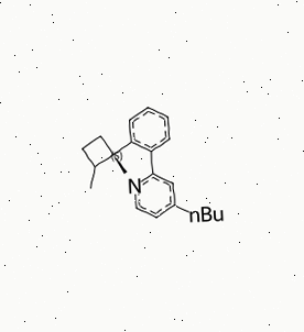 CCCCc1ccnc(-c2ccccc2[C@@]2(C)CCC2C)c1